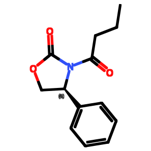 CCCC(=O)N1C(=O)OC[C@@H]1c1ccccc1